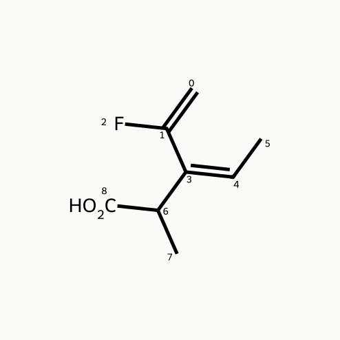 C=C(F)C(=CC)C(C)C(=O)O